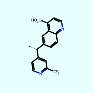 C[C@@H](c1ccnc(C(F)(F)F)c1)c1ccc2nccc(C(=O)O)c2c1